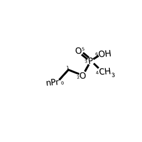 CCCCOP(C)(=O)O